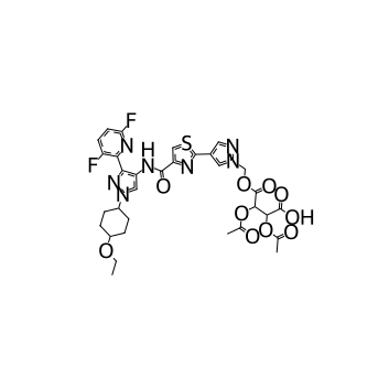 CCOC1CCC(n2cc(NC(=O)c3csc(-c4cnn(COC(=O)C(OC(C)=O)C(OC(C)=O)C(=O)O)c4)n3)c(-c3nc(F)ccc3F)n2)CC1